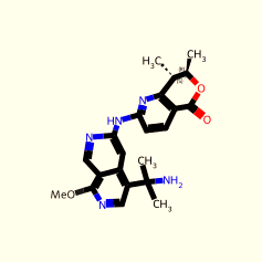 COc1ncc(C(C)(C)N)c2cc(Nc3ccc4c(n3)[C@H](C)[C@@H](C)OC4=O)ncc12